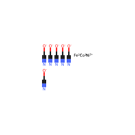 N#C[O-].N#C[O-].N#C[O-].N#C[O-].N#C[O-].N#C[O-].[Co+2].[Fe+2].[Ni+2]